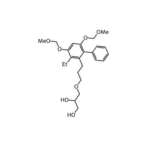 CCc1c(OCOC)cc(OCOC)c(-c2ccccc2)c1CCCOCC(O)CO